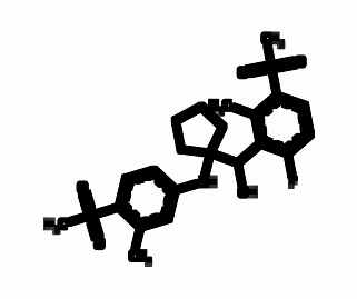 Cc1cc(NC2(C(O)c3c(F)ccc(S(C)(=O)=O)c3C)CCCC2)ccc1S(C)(=O)=O